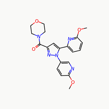 COc1ccc(-n2nc(C(=O)N3CCOCC3)cc2-c2cccc(OC)n2)cn1